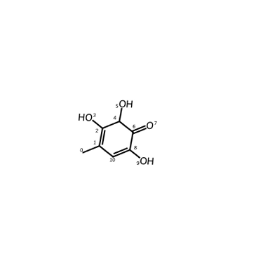 CC1=C(O)C(O)C(=O)C(O)=C1